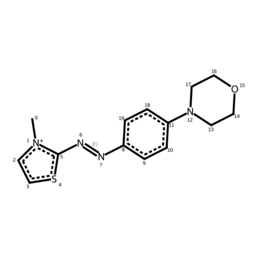 C[n+]1ccsc1/N=N/c1ccc(N2CCOCC2)cc1